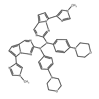 Cn1cnc(-c2ccc3cnc(N(c4ccc(N5CCOCC5)cc4)N(c4ccc(N5CCOCC5)cc4)c4ncc5ccc(-c6cn(C)cn6)n5n4)nn23)c1